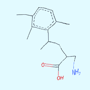 Cc1ccc(C)c(C(C)CC(CN)C(=O)O)c1C